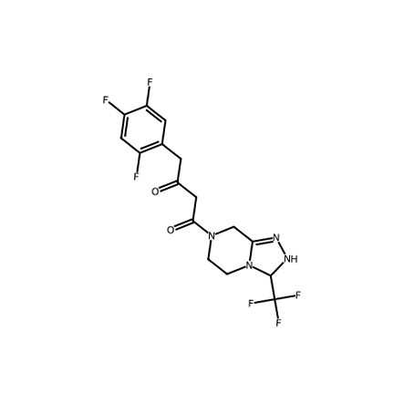 O=C(CC(=O)N1CCN2C(=NNC2C(F)(F)F)C1)Cc1cc(F)c(F)cc1F